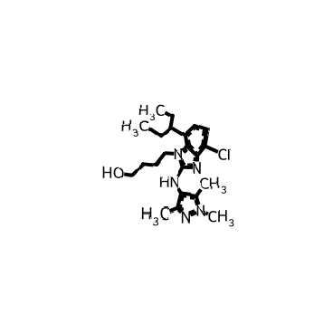 CCC(CC)c1ccc(Cl)c2nc(Nc3c(C)nn(C)c3C)n(CCCCO)c12